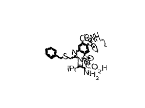 CC(C)C[C@H](N)C(=O)O.NS(=O)(=O)c1cc2c(cc1Cl)N=C(CSCc1ccccc1)NS2(=O)=O